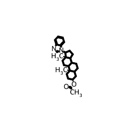 CC(=O)O[C@H]1CC[C@@]2(C)C(CCC3C2CC[C@@]2(C)C3CCC2n2cnc3ccccc32)C1